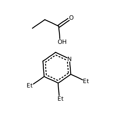 CCC(=O)O.CCc1ccnc(CC)c1CC